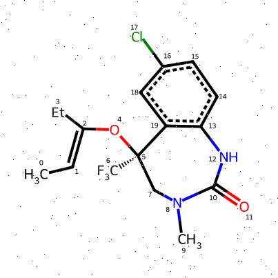 CC=C(CC)O[C@]1(C(F)(F)F)CN(C)C(=O)Nc2ccc(Cl)cc21